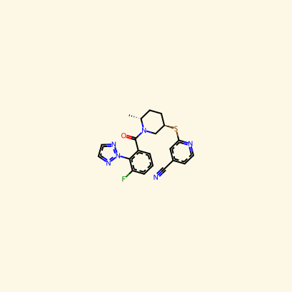 C[C@@H]1CC[C@@H](Sc2cc(C#N)ccn2)CN1C(=O)c1cccc(F)c1-n1nccn1